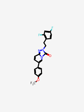 O=c1n(CCc2ccc(F)cc2F)nc2ccc(-c3ccc(OC(F)(F)F)cc3)cn12